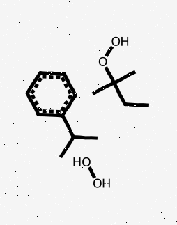 CC(C)c1ccccc1.CCC(C)(C)OO.OO